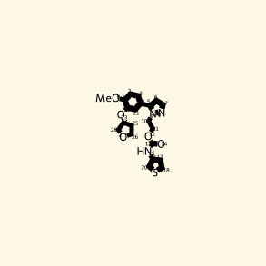 COc1ccc(-c2ccnn2CCOC(=O)Nc2ccsc2)cc1O[C@@H]1CCOC1